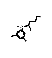 CCCCC(Cl)[SiH2]c1cc(C)cc(C)c1